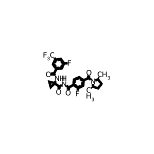 C[C@@H]1CC[C@H](C)N1C(=O)c1ccc(C(=O)NC(=O)C2(NC(=O)c3cc(F)cc(C(F)(F)F)c3)CC2)c(F)c1